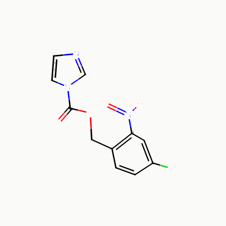 O=C(OCc1ccc(Cl)cc1[N+](=O)[O-])n1ccnc1